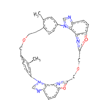 Cc1cc2ccc1COCc1ccc(cc1C)-n1cnc3ccc4oc(nc4c31)COCc1nc3c(ccc4ncn-2c43)o1